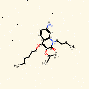 CCCCCCOc1c(OC(C)C)c(=O)n(CCCC)c2cc(N)ccc12